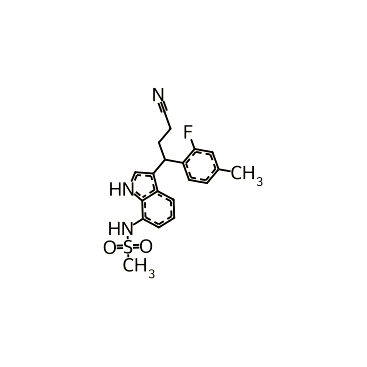 Cc1ccc(C(CCC#N)c2c[nH]c3c(NS(C)(=O)=O)cccc23)c(F)c1